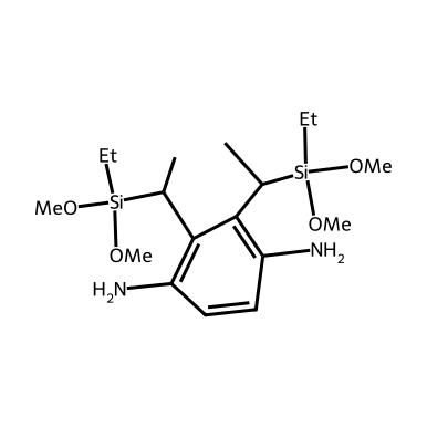 CC[Si](OC)(OC)C(C)c1c(N)ccc(N)c1C(C)[Si](CC)(OC)OC